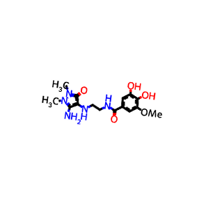 COc1cc(C(=O)NCCNc2c(N)n(C)n(C)c2=O)cc(O)c1O